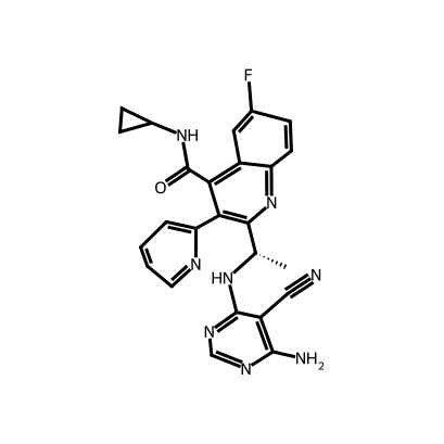 C[C@H](Nc1ncnc(N)c1C#N)c1nc2ccc(F)cc2c(C(=O)NC2CC2)c1-c1ccccn1